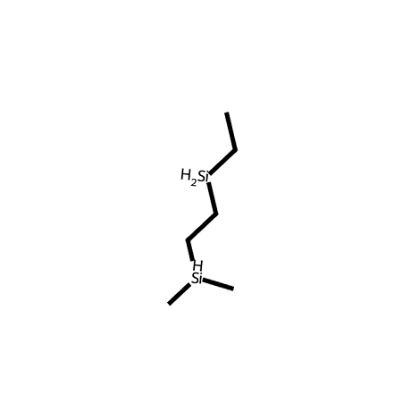 CC[SiH2]CC[SiH](C)C